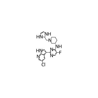 Fc1cnc(-c2c[nH]c3ncc(Cl)cc23)nc1N[C@H]1CCCN(CC2NC=CN2)C1